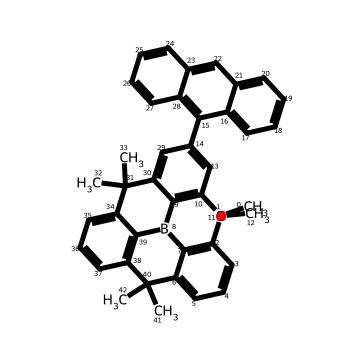 COc1cccc2c1B1c3c(OC)cc(-c4c5ccccc5cc5ccccc45)cc3C(C)(C)c3cccc(c31)C2(C)C